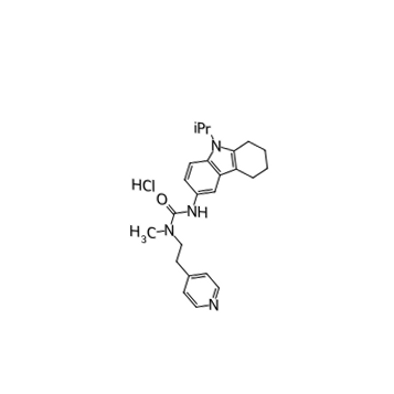 CC(C)n1c2c(c3cc(NC(=O)N(C)CCc4ccncc4)ccc31)CCCC2.Cl